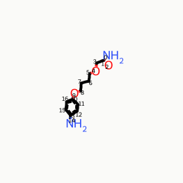 NC(=O)COCCCCOc1ccc(N)cc1